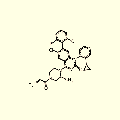 C=CC(=O)N1CCN(c2nc(=O)n(-c3ccncc3C3CC3)c3cc(-c4c(O)cccc4F)c(Cl)cc23)C(C)C1